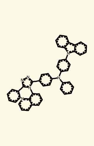 c1ccc(-c2nnc(-c3ccc(N(c4ccccc4)c4ccc(-n5c6ccccc6c6ccccc65)cc4)cc3)n2-c2cccc3cccnc23)cc1